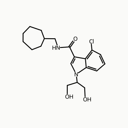 O=C(NCC1CCCCCC1)c1cn(C(CO)CO)c2cccc(Cl)c12